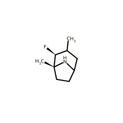 CC1CC2CC[C@@](C)(N2)[C@H]1F